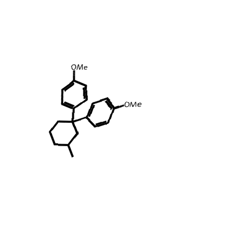 COc1ccc(C2(c3ccc(OC)cc3)CCCC(C)C2)cc1